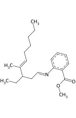 CCCCCC=C(C)C(CC)CC=Nc1ccccc1C(=O)OC